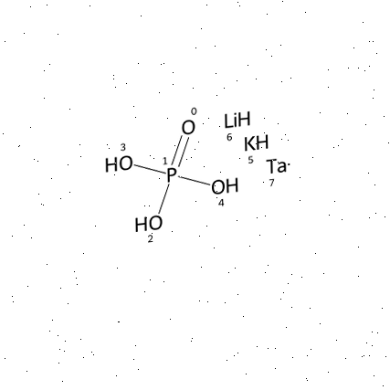 O=P(O)(O)O.[KH].[LiH].[Ta]